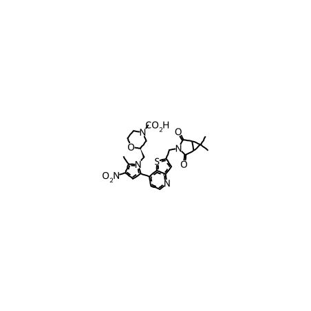 Cc1c([N+](=O)[O-])cc(-c2ccnc3cc(CN4C(=O)C5C(C4=O)C5(C)C)sc23)n1C[C@@H]1CN(C(=O)O)CCO1